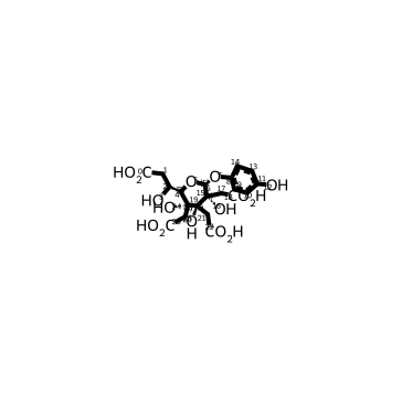 O=C(O)CC(O)[C@H]1O[C@@H](Oc2ccc(O)cc2)[C@@](O)(CC(=O)O)[C@](O)(CC(=O)O)[C@@]1(O)CC(=O)O